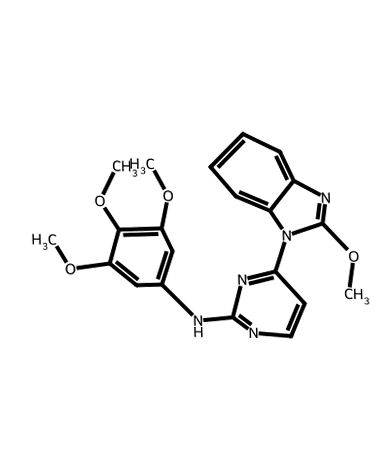 COc1cc(Nc2nccc(-n3c(OC)nc4ccccc43)n2)cc(OC)c1OC